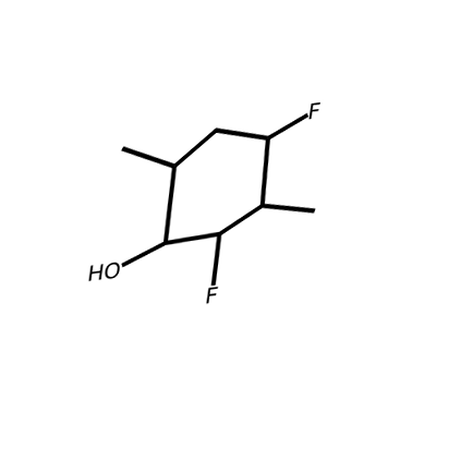 CC1CC(F)C(C)C(F)C1O